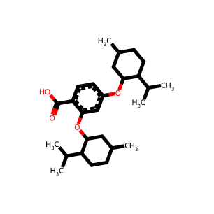 CC1CCC(C(C)C)C(Oc2ccc(C(=O)O)c(OC3CC(C)CCC3C(C)C)c2)C1